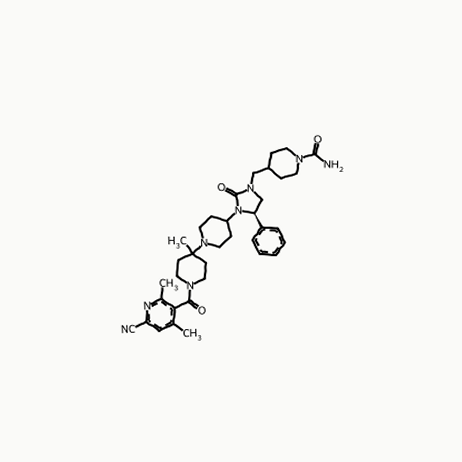 Cc1cc(C#N)nc(C)c1C(=O)N1CCC(C)(N2CCC(N3C(=O)N(CC4CCN(C(N)=O)CC4)C[C@H]3c3ccccc3)CC2)CC1